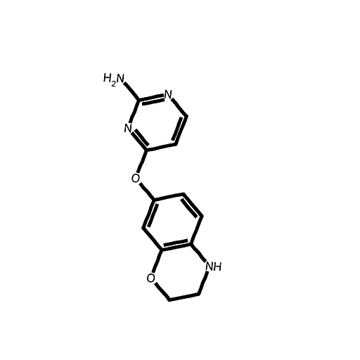 Nc1nccc(Oc2ccc3c(c2)OCCN3)n1